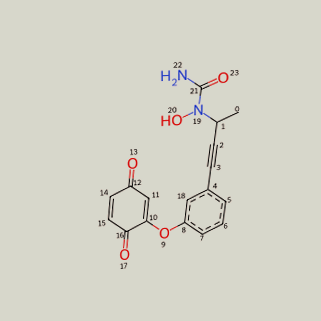 CC(C#Cc1cccc(OC2=CC(=O)C=CC2=O)c1)N(O)C(N)=O